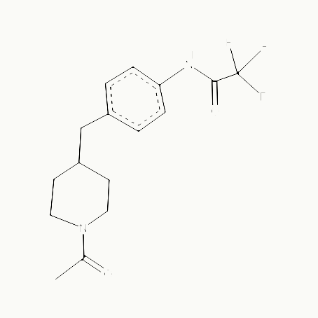 CC(=O)N1CCC(Cc2ccc(NC(=O)C(F)(F)F)cc2)CC1